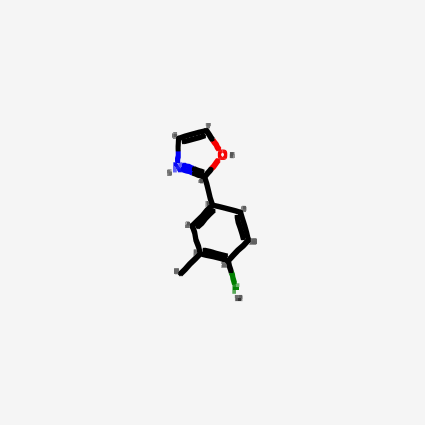 Cc1cc(-c2ncco2)ccc1F